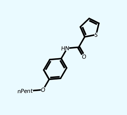 CCCCCOc1ccc(NC(=O)c2cccs2)cc1